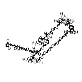 COCCOCCOCCOCCOCCOCCOCCOCCNC(=O)c1cc(NC(=O)[C@H](C)NC(=O)[C@@H](NC(=O)CCOCCOCCNC(=O)[C@H](CCC(=O)OC(C)(C)C)NC(=O)CCOCCOCCNC(=O)[C@H](CCC(=O)OC(C)(C)C)NC(=O)CCOCCOCCNC(=O)CCCN2C(=O)C=CC2=O)C(C)C)ccc1CO